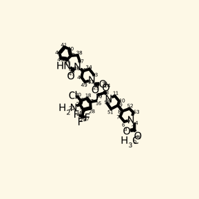 COC(=O)CN1CCC(C2CCN(C(=O)[C@@H](Cc3cc(Cl)c(N)c(C(F)(F)F)c3)OC(=O)N3CCC(N4CCc5ccccc5NC4=O)CC3)CC2)CC1